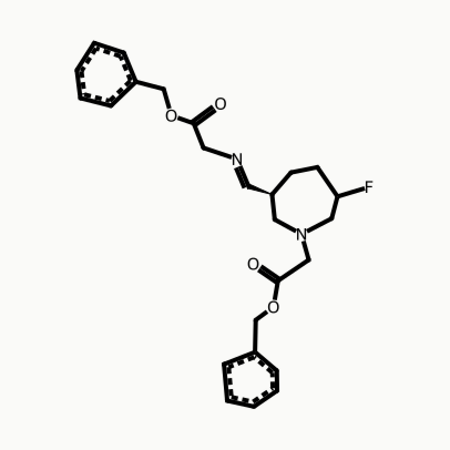 O=C(C/N=C/[C@H]1CCC(F)CN(CC(=O)OCc2ccccc2)C1)OCc1ccccc1